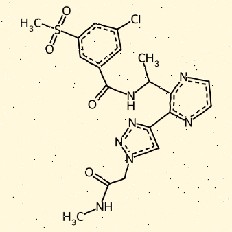 CNC(=O)Cn1cc(-c2nccnc2C(C)NC(=O)c2cc(Cl)cc(S(C)(=O)=O)c2)nn1